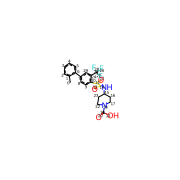 Cc1ccccc1-c1ccc(S(=O)(=O)NC2CCN(C(=O)O)CC2)c(C(F)(F)F)c1